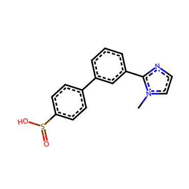 Cn1ccnc1-c1cccc(-c2ccc(S(=O)O)cc2)c1